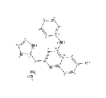 Cl.Cl.Clc1ccc2nc(Cc3ncc[nH]3)nc(Nc3ccccc3)c2c1